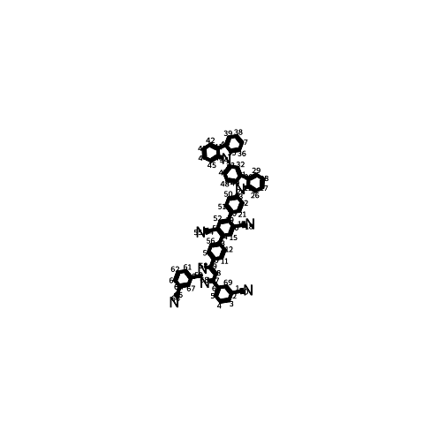 N#Cc1cccc(-c2cc(-c3ccc(-c4cc(C#N)c(-c5ccc(-n6c7ccccc7c7cc(-n8c9ccccc9c9ccccc98)ccc76)cc5)cc4C#N)cc3)nc(-c3cccc(C#N)c3)n2)c1